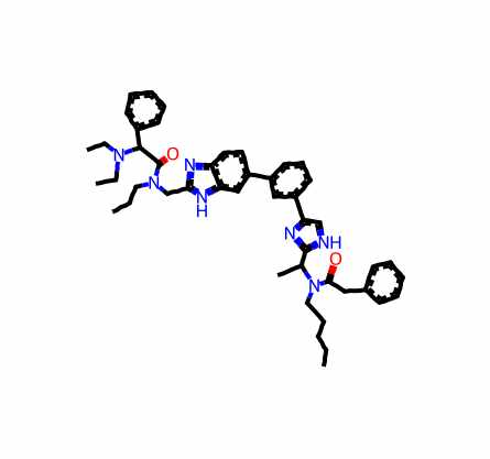 CCCCCN(C(=O)Cc1ccccc1)C(C)c1nc(-c2cccc(-c3ccc4nc(CN(CCC)C(=O)C(c5ccccc5)N(CC)CC)[nH]c4c3)c2)c[nH]1